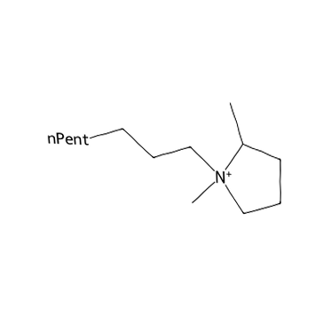 CCCCCCCC[N+]1(C)CCCC1C